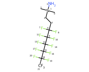 C[Si](C)(N)CCC(F)(F)C(F)(F)C(F)(F)C(F)(F)C(F)(F)C(F)(F)F